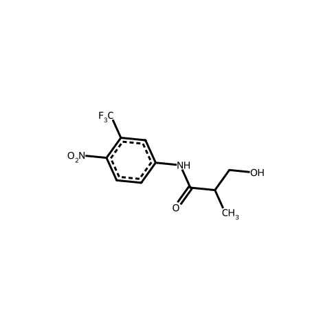 CC(CO)C(=O)Nc1ccc([N+](=O)[O-])c(C(F)(F)F)c1